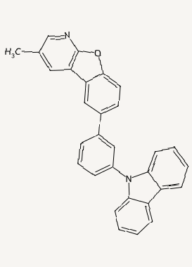 Cc1cnc2oc3ccc(-c4cccc(-n5c6ccccc6c6ccccc65)c4)cc3c2c1